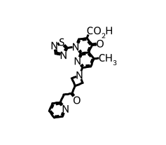 Cc1cc(N2CC(C(=O)Cc3ccccn3)C2)nc2c1c(=O)c(C(=O)O)cn2-c1ncns1